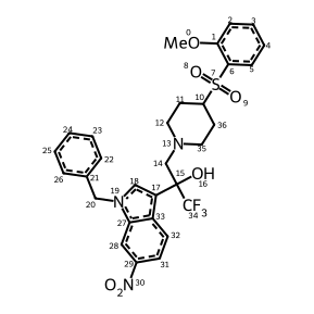 COc1ccccc1S(=O)(=O)C1CCN(CC(O)(c2cn(Cc3ccccc3)c3cc([N+](=O)[O-])ccc23)C(F)(F)F)CC1